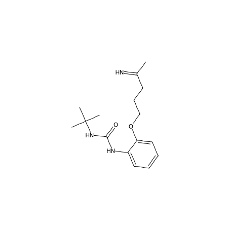 CC(=N)CCCOc1ccccc1NC(=O)NC(C)(C)C